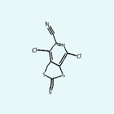 N#Cc1nc(Cl)c2sc(=S)sc2c1Cl